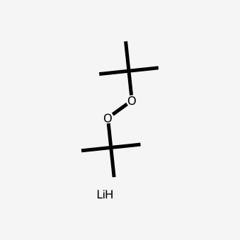 CC(C)(C)OOC(C)(C)C.[LiH]